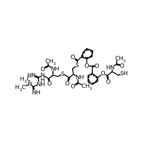 CC(=O)NC(CSC(=O)C(CSC(=O)c1ccccc1OC(=O)c1ccccc1OC(=O)C(CS)NC(C)=O)NC(C)=O)C(=O)NC(=N)NC(=N)N(C)C